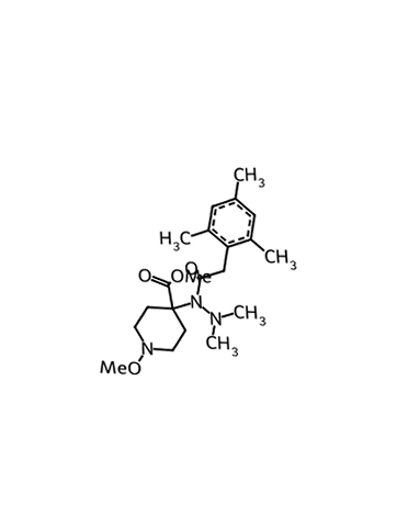 COC(=O)C1(N(C(=O)Cc2c(C)cc(C)cc2C)N(C)C)CCN(OC)CC1